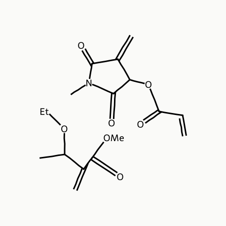 C=C(C(=O)OC)C(C)OCC.C=CC(=O)OC1C(=C)C(=O)N(C)C1=O